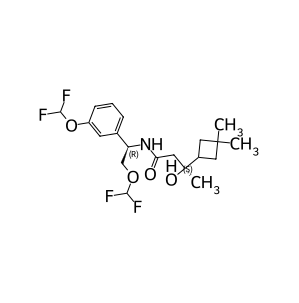 CC1(C)CC([C@@](C)(O)CC(=O)N[C@@H](COC(F)F)c2cccc(OC(F)F)c2)C1